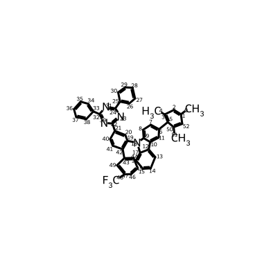 Cc1cc(C)c(-c2ccc3c(c2)c2ccccc2n3-c2cc(-c3nc(-c4ccccc4)nc(-c4ccccc4)n3)ccc2-c2cccc(C(F)(F)F)c2)c(C)c1